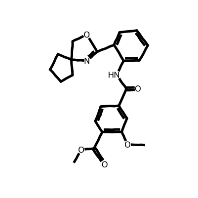 COC(=O)c1ccc(C(=O)Nc2ccccc2C2=NC3(CCCC3)CO2)cc1OC